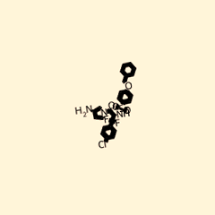 N[C@@H]1CCN(C(=O)[C@H](NS(=O)(=O)c2ccc(OCC3CCCCC3)cc2)C(F)(F)c2ccc(Cl)cc2)C1